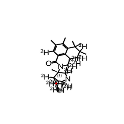 [2H]c1c(C)c(C)c2c3c1C(=O)N([C@]1(C)C(C)(C)N4C([2H])([2H])C([2H])([2H])C1([2H])C([2H])(C)C4([2H])[2H])C([2H])([2H])[C@@]3([2H])C([2H])([2H])C([2H])(C)C2(C)C